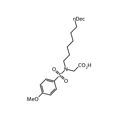 CCCCCCCCCCCCCCCCN(CC(=O)O)S(=O)(=O)c1ccc(OC)cc1